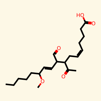 CCCCCC(/C=C/C(C=O)C(C/C=C\CCCC(=O)O)C(C)=O)OC